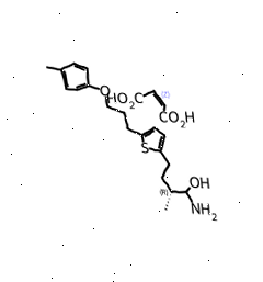 Cc1ccc(OCCCc2ccc(CC[C@@H](C)C(N)O)s2)cc1.O=C(O)/C=C\C(=O)O